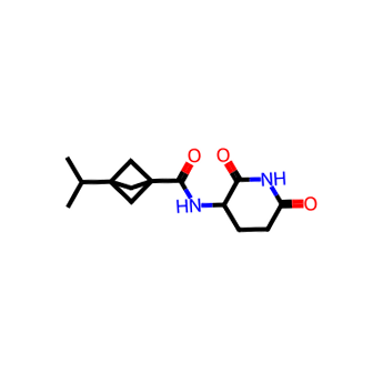 CC(C)C12CC(C(=O)NC3CCC(=O)NC3=O)(C1)C2